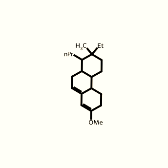 CCCC1C2CC=C3C=C(OC)CCC3C2CCC1(C)CC